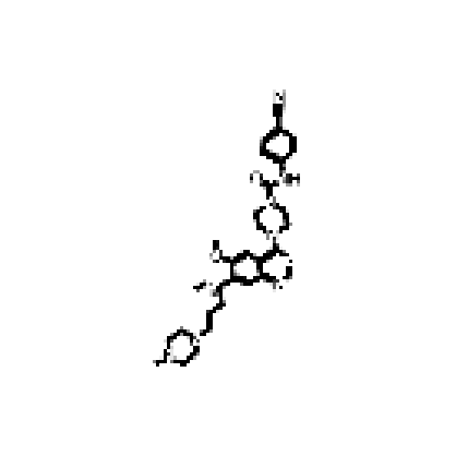 CC[C@@H](CCCN1CCN(C)CC1)c1cc2ncnc(N3CCN(C(=O)Nc4ccc(C#N)cc4)CC3)c2cc1OC